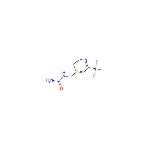 CC(F)(F)c1cc(CNC(N)=O)ccn1